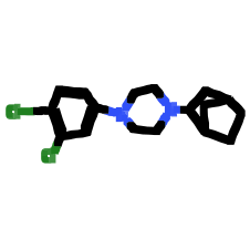 Clc1ccc(N2CCN(C3CC4CCC3C4)CC2)cc1Cl